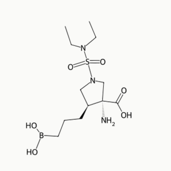 CCN(CC)S(=O)(=O)N1C[C@H](CCCB(O)O)[C@](N)(C(=O)O)C1